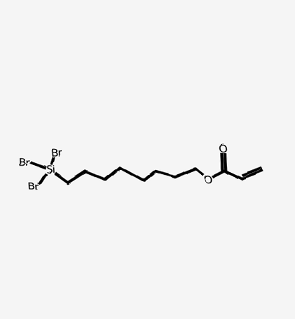 C=CC(=O)OCCCCCCCC[Si](Br)(Br)Br